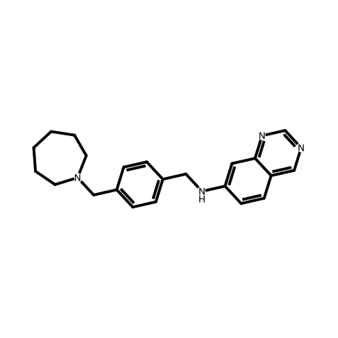 c1ncc2ccc(NCc3ccc(CN4CCCCCC4)cc3)cc2n1